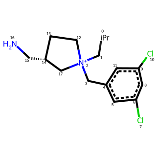 CC(C)C[N+]1(Cc2cc(Cl)cc(Cl)c2)CC[C@@H](CN)C1